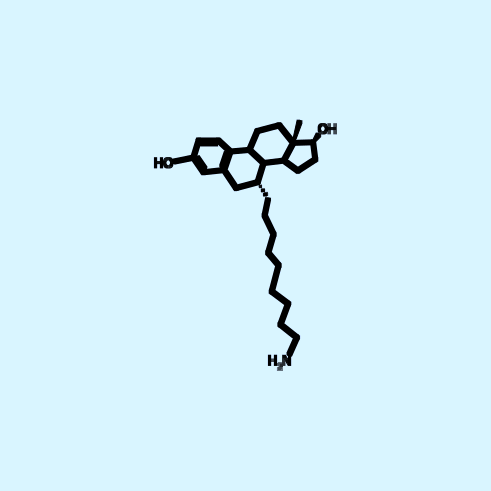 C[C@]12CCC3c4ccc(O)cc4C[C@@H](CCCCCCCCCN)C3C1CC[C@@H]2O